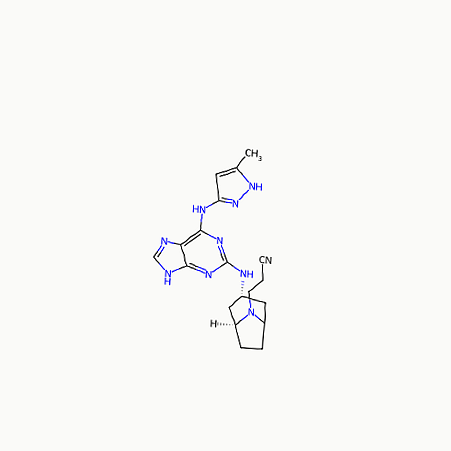 Cc1cc(Nc2nc(N[C@@H]3CC4CC[C@@H](C3)N4CCC#N)nc3[nH]cnc23)n[nH]1